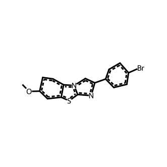 COc1ccc2c(c1)sc1nc(-c3ccc(Br)cc3)cn12